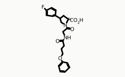 O=C(CCCOc1ccccc1)NCC(=O)N1CC(c2ccc(F)cc2)C[C@@H]1C(=O)O